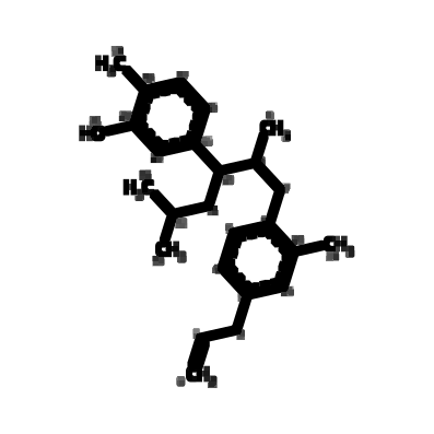 C=CCc1ccc(CC(C)C(CC(C)C)c2ccc(C)c(O)c2)c(C)c1